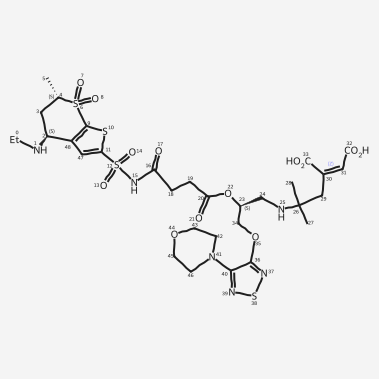 CCN[C@H]1C[C@H](C)S(=O)(=O)c2sc(S(=O)(=O)NC(=O)CCC(=O)O[C@@H](CNC(C)(C)C/C(=C/C(=O)O)C(=O)O)COc3nsnc3N3CCOCC3)cc21